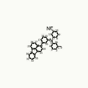 Cc1cccc(N(c2cccc(C#N)c2)c2cccc(-c3ccc4c5c(cccc35)-c3ccccc3-4)c2)c1